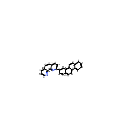 c1ccc2c(c1)ccc1c3cc(-c4ccc5ccc6cccnc6c5n4)ccc3ccc21